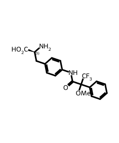 COC(C(=O)Nc1ccc(C[C@H](N)C(=O)O)cc1)(c1ccccc1)C(F)(F)F